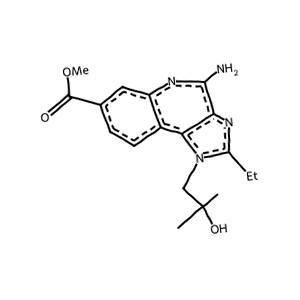 CCc1nc2c(N)nc3cc(C(=O)OC)ccc3c2n1CC(C)(C)O